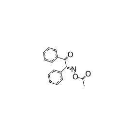 CC(=O)O/N=C(/C(=O)c1ccccc1)c1ccccc1